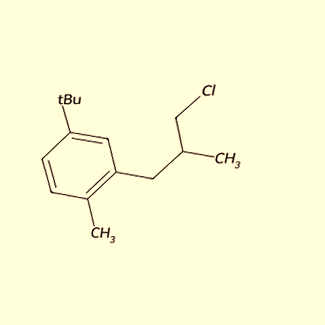 Cc1ccc(C(C)(C)C)cc1CC(C)CCl